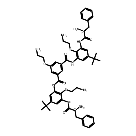 CC(C)(C)c1cc(NC(=O)c2cc(OCCN)cc(C(=O)Nc3cc(C(C)(C)C)cc(NC(=O)[C@@H](N)Cc4ccccc4)c3SCCN)c2)c(SCCN)c(NC(=O)[C@@H](N)Cc2ccccc2)c1